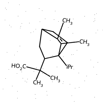 CC1=C(C)C2(C(C)C)CCC1CC2C(C)(C)C(=O)O